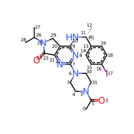 CC(=O)N1CCN(c2nc(N[C@H](C)c3ccc(I)cc3)c3c(n2)C(=O)N(C(C)C)C3)CC1